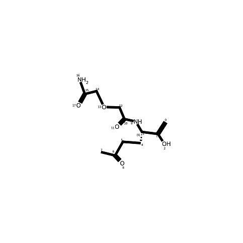 C=C(O)[C@H](CCC(C)=O)NC(=O)COCC(N)=O